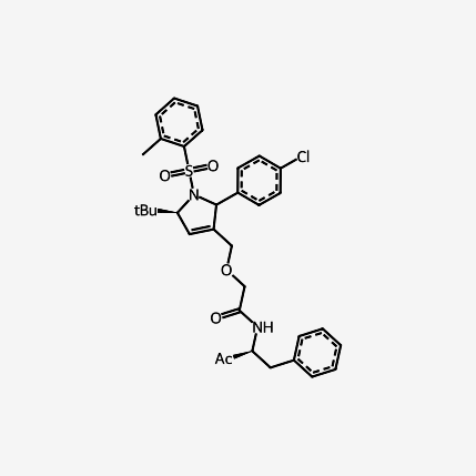 CC(=O)[C@H](Cc1ccccc1)NC(=O)COCC1=C[C@@H](C(C)(C)C)N(S(=O)(=O)c2ccccc2C)C1c1ccc(Cl)cc1